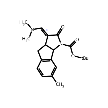 Cc1ccc2c(c1)C1C(C2)/C(=C\N(C)C)C(=O)N1C(=O)OC(C)(C)C